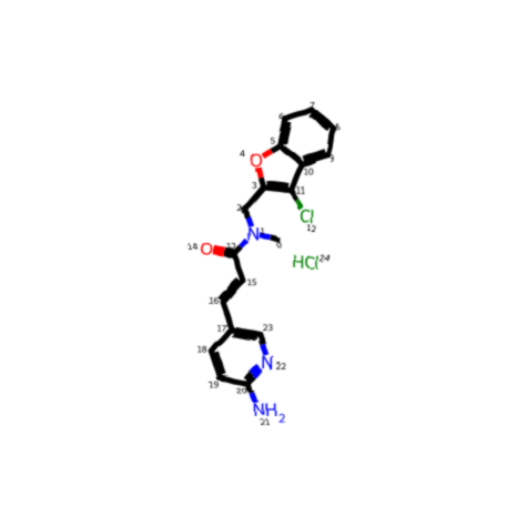 CN(Cc1oc2ccccc2c1Cl)C(=O)C=Cc1ccc(N)nc1.Cl